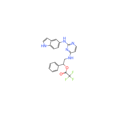 O=C(OC(CNc1ccnc(Nc2ccc3[nH]ccc3c2)n1)c1ccccc1)C(F)(F)F